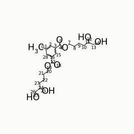 Cc1cc(C(=O)OCCCCC(O)CO)cc(C(=O)OCCCCC(O)CO)c1